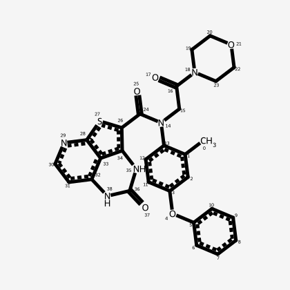 Cc1cc(Oc2ccccc2)ccc1N(CC(=O)N1CCOCC1)C(=O)c1sc2nccc3c2c1NC(=O)N3